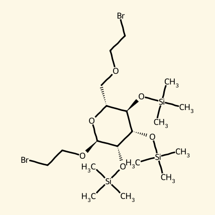 C[Si](C)(C)O[C@@H]1[C@H](O[Si](C)(C)C)[C@@H](OCCBr)O[C@H](COCCBr)[C@H]1O[Si](C)(C)C